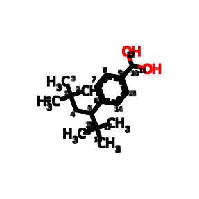 CC(C)(C)CC(c1ccc(C(O)O)cc1)C(C)(C)C